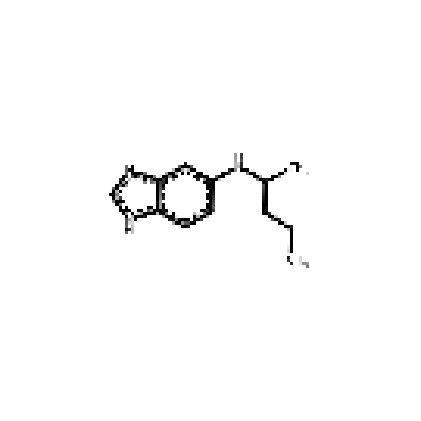 CCCC(C)Nc1ccc2[nH]cnc2c1